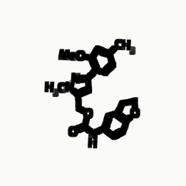 COc1cc(C)ccc1-c1cc(COC(=O)Nc2ccc3c(c2)CCO3)n(C)n1